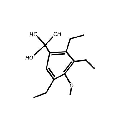 CCc1cc(C(O)(O)O)c(CC)c(CC)c1OC